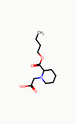 CCCCOC(=O)C1CCCCN1CC(=O)O